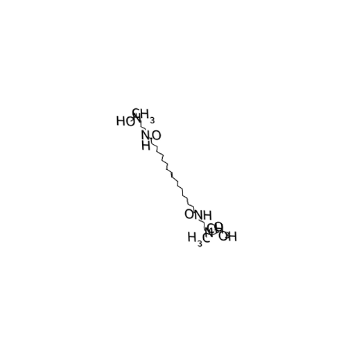 CN(O)CCCNC(=O)CCCCCCC/C=C/CCCCCCCC(=O)NCCC[N+](C)(C)CC(=O)O